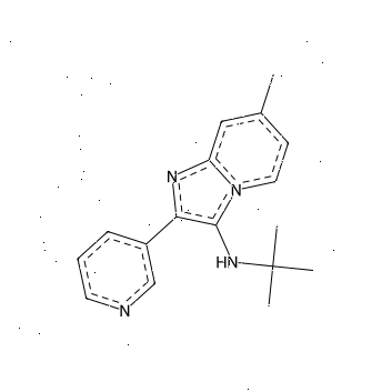 Cc1ccn2c(NC(C)(C)C)c(-c3cccnc3)nc2c1